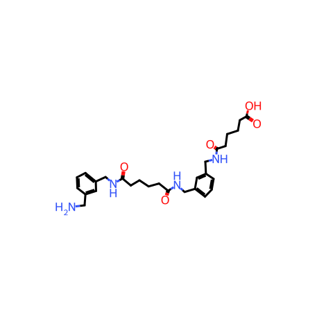 NCc1cccc(CNC(=O)CCCCC(=O)NCc2cccc(CNC(=O)CCCCC(=O)O)c2)c1